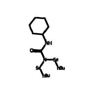 CCCC[Se]N([Se]CCCC)C(=O)NC1CCCCC1